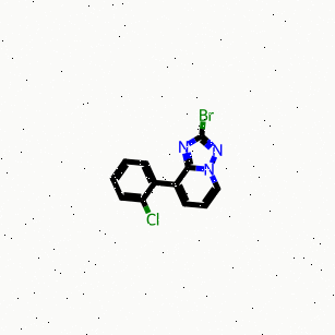 Clc1ccccc1-c1cccn2nc(Br)nc12